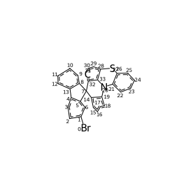 Brc1ccc2c(c1)C1(c3ccccc3-2)c2ccccc2N2c3ccccc3Sc3cccc1c32